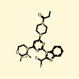 CCC(=O)N1CCN(c2cc(N3CCO[C@H](C)[C@@H]3C)nc(-n3c(C(F)F)nc4ccccc43)n2)CC1